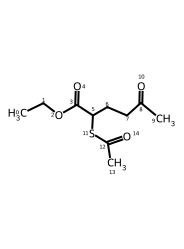 CCOC(=O)C(CCC(C)=O)SC(C)=O